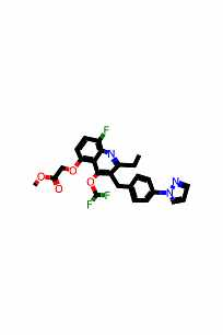 CCc1nc2c(F)ccc(OCC(=O)OC)c2c(OC(F)F)c1Cc1ccc(-n2cccn2)cc1